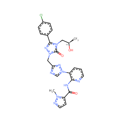 Cn1nccc1C(=O)Nc1ncccc1-n1cnc(Cn2nc(-c3ccc(Cl)cc3)n(C[C@H](O)C(F)(F)F)c2=O)n1